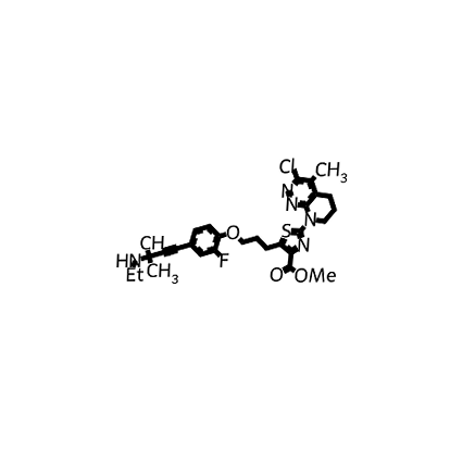 CCNC(C)(C)C#Cc1ccc(OCCCc2sc(N3CCCc4c3nnc(Cl)c4C)nc2C(=O)OC)c(F)c1